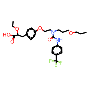 CCCOCCCN(CCOc1ccc(CC(OCC)C(=O)O)cc1)C(=O)Nc1ccc(C(F)(F)F)cc1